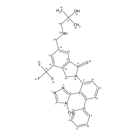 Cn1cnnc1-c1c(-c2ccccc2)cccc1N1Cc2c(cc(CNCC(C)(C)O)cc2C(F)(F)F)C1=O